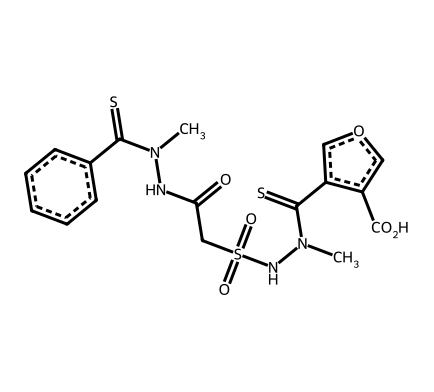 CN(NC(=O)CS(=O)(=O)NN(C)C(=S)c1cocc1C(=O)O)C(=S)c1ccccc1